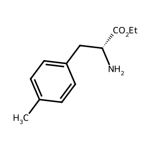 CCOC(=O)[C@H](N)Cc1ccc(C)cc1